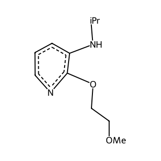 COCCOc1ncccc1NC(C)C